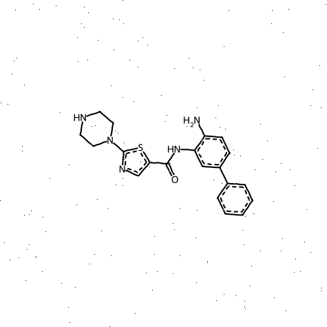 Nc1ccc(-c2ccccc2)cc1NC(=O)c1cnc(N2CCNCC2)s1